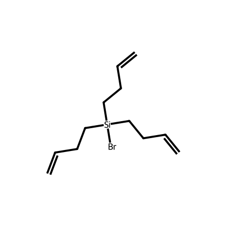 C=CCC[Si](Br)(CCC=C)CCC=C